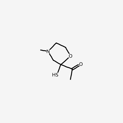 CC(=O)C1(S)CN(C)CCO1